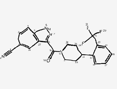 N#Cc1ccc2[nH]nc(C(=O)N3CCC(c4ccccc4C(F)(F)F)CC3)c2c1